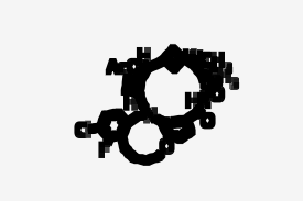 CC(=O)O[C@H]1C2=C[C@@H](C2)[C@H](C)[C@@H](C)S(=O)(=O)NC(=O)c2ccc3c(c2)N(Cc2ccc(Cl)c(F)c2CCCCO3)C[C@@H]2CC[C@H]21